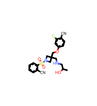 CC(O)CNCC1(COc2ccc(C#N)c(F)c2)CN(S(=O)(=O)c2ccccc2C#N)C1